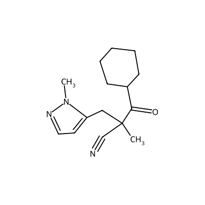 Cn1nccc1CC(C)(C#N)C(=O)C1CCCCC1